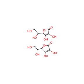 O=C1O[C@H]([C@@H](O)CO)C(O)=C1O.O=C1O[C@H]([C@H](O)CO)C(O)=C1O